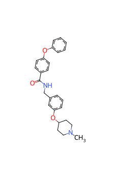 CN1CCC(Oc2cccc(CNC(=O)c3ccc(Oc4ccccc4)cc3)c2)CC1